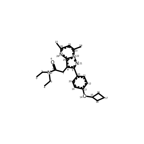 CCN(CC)C(=O)Cc1c(-c2ccc(OC3CCC3)cc2)nn2c(C)cc(C)nc12